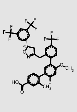 COc1cc(F)c(-c2ccc(C(=O)O)cc2C)cc1-c1ccc(C(F)(F)F)cc1CC1=NO[C@H](c2cc(C(F)(F)F)cc(C(F)(F)F)c2)C1